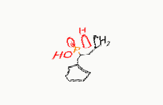 C=CC(c1ccccc1)P(=O)(O)O